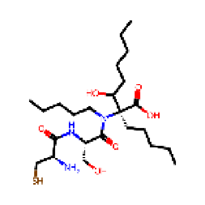 CCCCCC(O)[C@@](CCCCC)(C(=O)O)N(CCCCC)C(=O)[C@H](CO)NC(=O)[C@@H](N)CS